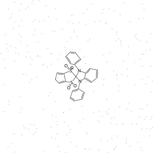 O=S1(=O)C2=CCC=C2S(=O)(=O)C12N(c1ccccc1)c1ccccc1N2c1ccccc1